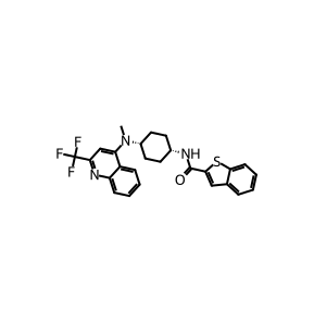 CN(c1cc(C(F)(F)F)nc2ccccc12)[C@H]1CC[C@@H](NC(=O)c2cc3ccccc3s2)CC1